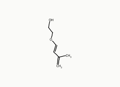 C=C(C)C=COCCO